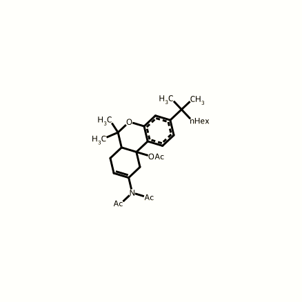 CCCCCCC(C)(C)c1ccc2c(c1)OC(C)(C)C1CC=C(N(C(C)=O)C(C)=O)CC21OC(C)=O